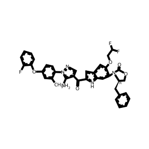 Cc1cc(Oc2ccccc2F)ccc1-n1ncc(C(=O)c2cc3cc(OCC(F)F)c(N4C(=O)OC[C@H]4Cc4ccccc4)cc3[nH]2)c1N